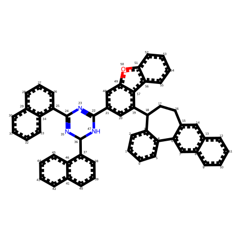 c1ccc2c(c1)-c1cc3ccccc3cc1CCC2c1cc(C2=NC(c3cccc4ccccc34)=NC(c3cccc4ccccc34)N2)cc2oc3ccccc3c12